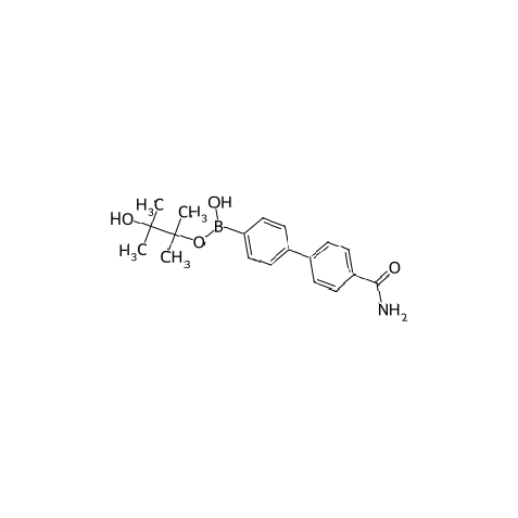 CC(C)(O)C(C)(C)OB(O)c1ccc(-c2ccc(C(N)=O)cc2)cc1